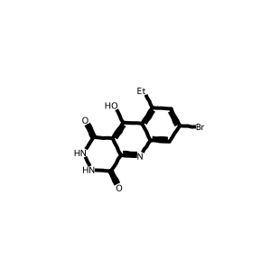 CCc1cc(Br)cc2nc3c(=O)[nH][nH]c(=O)c3c(O)c12